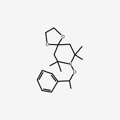 CC(ON1C(C)(C)CC2(CC1(C)C)OCCO2)c1ccccc1